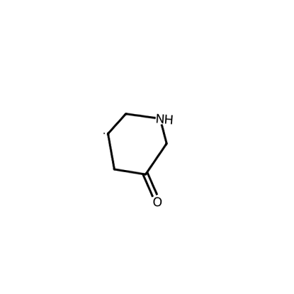 O=C1C[CH]CNC1